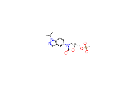 CC(C)n1ncc2cc(N3C[C@H](COS(C)(=O)=O)OC3=O)ccc21